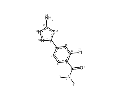 CN(C)C(=O)c1ccc(-c2nnc(N)s2)cc1Cl